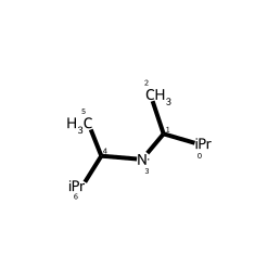 CC(C)C(C)[N]C(C)C(C)C